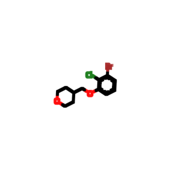 Clc1c(Br)cccc1OCC1CCOCC1